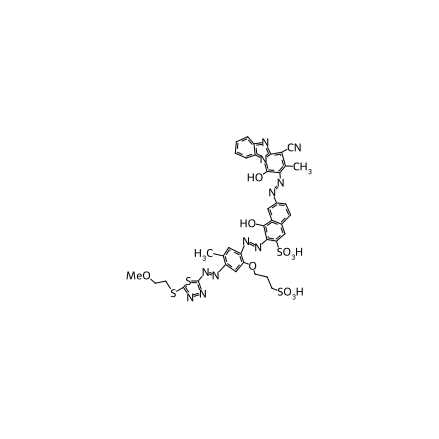 COCCSc1nnc(N=Nc2cc(OCCCS(=O)(=O)O)c(N=Nc3c(S(=O)(=O)O)cc4ccc(N=Nc5c(C)c(C#N)c6nc7ccccc7n6c5O)cc4c3O)cc2C)s1